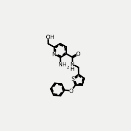 Nc1nc(CO)ccc1C(=O)NCc1ccc(Oc2ccccc2)s1